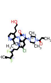 C#C/C(F)=C\C(F)=C/Cc1nc2c(cc1Cl)c(N1C[C@@H](C)N(C(=O)C=C)C[C@@H]1C)nc(=O)n2-c1c(CCCO)ccnc1C(C)C